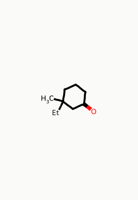 CCC1(C)CCCC(=O)C1